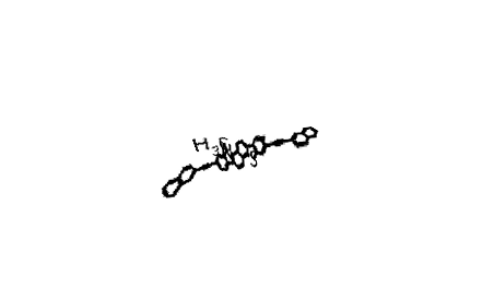 Cn1c2cc(C#Cc3ccc4ccccc4c3)ccc2c2ccc3c(ccc4c5ccc(C#Cc6ccc7ccccc7c6)cc5sc43)c21